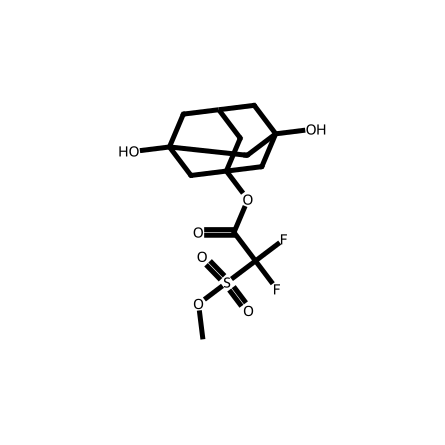 COS(=O)(=O)C(F)(F)C(=O)OC12CC3CC(O)(CC(O)(C3)C1)C2